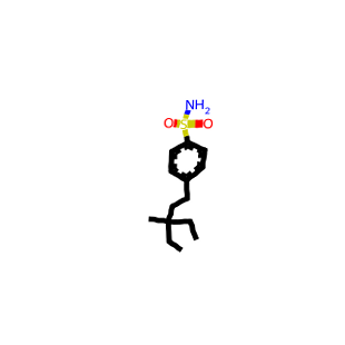 CCC(C)(CC)CCc1ccc(S(N)(=O)=O)cc1